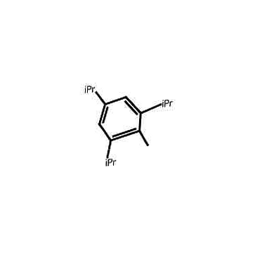 Cc1c(C(C)C)cc(C(C)C)cc1C(C)C